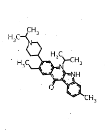 CCc1cc2c(=O)c3c4ccc(C)cc4[nH]c3n(C(C)C)c2cc1C1CCN(C(C)C)CC1